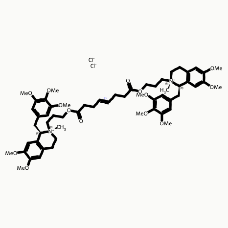 COc1cc2c(cc1OC)[C@@H](Cc1cc(OC)c(OC)c(OC)c1)[N@@+](C)(CCCOC(=O)CC/C=C/CCC(=O)OCCC[N@@+]1(C)CCc3cc(OC)c(OC)cc3[C@H]1Cc1cc(OC)c(OC)c(OC)c1)CC2.[Cl-].[Cl-]